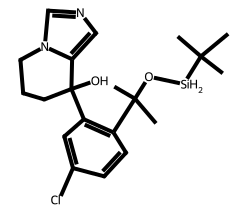 CC(C)(C)[SiH2]OC(C)(C)c1ccc(Cl)cc1C1(O)CCCn2cncc21